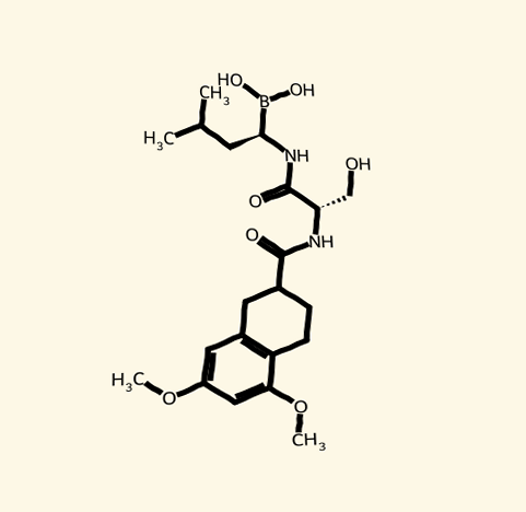 COc1cc2c(c(OC)c1)CCC(C(=O)N[C@@H](CO)C(=O)N[C@@H](CC(C)C)B(O)O)C2